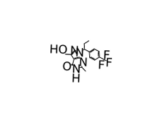 CCC(c1ccc(C(F)(F)F)cc1)n1nc(CO)c2c(=O)[nH]c(C)nc21